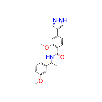 COc1cccc(C(C)NC(=O)c2ccc(-c3cn[nH]c3)cc2OC)c1